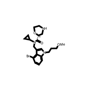 COCCCn1cc(CN(C(=O)[C@H]2CNCCO2)C2CC2)c2c(Br)cccc21